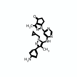 Cc1nn(-c2cc(Nc3c(C)c(-c4ccc(N)cc4)nn3CC3CC3)ncn2)c2c1C(=O)CC2